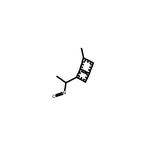 Cc1cc2cc(C(C)N=O)c1=2